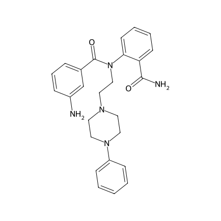 NC(=O)c1ccccc1N(CCN1CCN(c2ccccc2)CC1)C(=O)c1cccc(N)c1